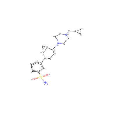 NS(=O)(=O)c1cccc(C2CCC(N3CCN(CC4CC4)CC3)CC2)c1.[Fe]